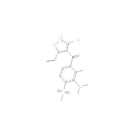 CCc1n[nH]c(O)c1C(=O)c1ccc(S(C)(=O)=O)c(N(C)C)c1Cl